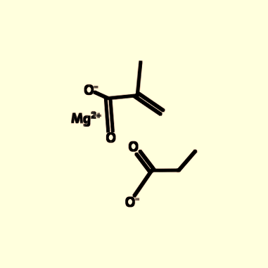 C=C(C)C(=O)[O-].CCC(=O)[O-].[Mg+2]